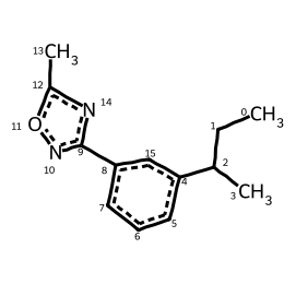 CCC(C)c1cccc(-c2noc(C)n2)c1